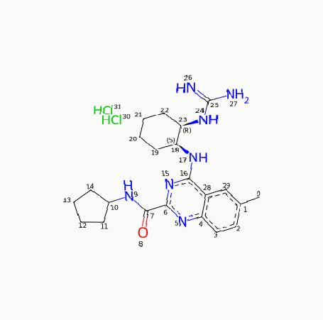 Cc1ccc2nc(C(=O)NC3CCCC3)nc(N[C@H]3CCCC[C@H]3NC(=N)N)c2c1.Cl.Cl